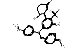 COc1ccc(CN(c2ccc(OC)cc2)c2cc(C)c(C(F)(F)F)c(C3CC(=O)CCC3C)n2)cc1